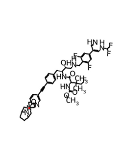 COC(=O)NC(C(=O)N[C@@H](Cc1ccc(C#Cc2ccc(N3CC4CCC(C3)N4C3COC3)nc2)cc1)[C@@H](O)CNCc1c(F)cc(/C(C=N)=C/NC(F)F)cc1F)C(C)(C)CF